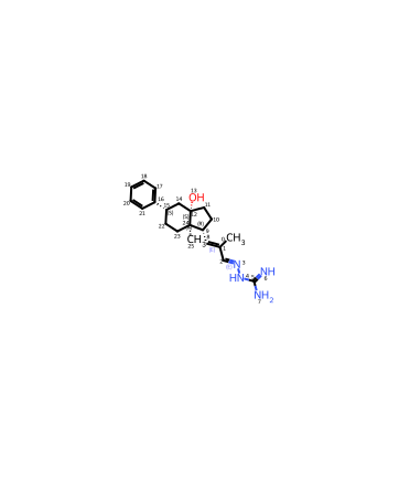 CC(/C=N/NC(=N)N)=C\[C@H]1CC[C@]2(O)C[C@@H](c3ccccc3)CC[C@]12C